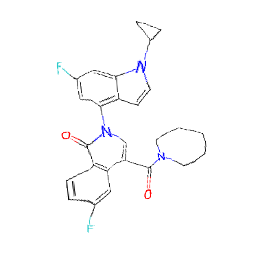 O=C(c1cn(-c2cc(F)cc3c2ccn3C2CC2)c(=O)c2ccc(F)cc12)N1CCCCC1